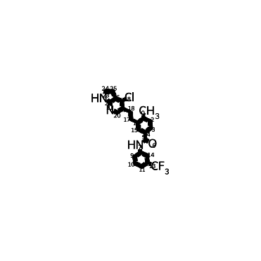 Cc1ccc(C(=O)Nc2cccc(C(F)(F)F)c2)cc1C=Cc1cnc2[nH]ccc2c1Cl